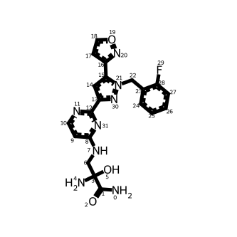 NC(=O)C(N)(O)CNc1ccnc(-c2cc(-c3ccon3)n(Cc3ccccc3F)n2)n1